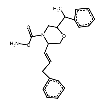 CC(c1ccccc1)C1CN(C(=O)ON)C(C=CCc2ccccc2)CO1